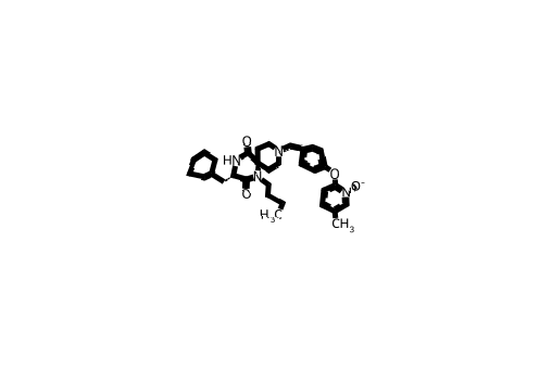 CCCCN1C(=O)[C@H](CC2CCCCC2)NC(=O)C12CCN(Cc1ccc(Oc3ccc(C)c[n+]3[O-])cc1)CC2